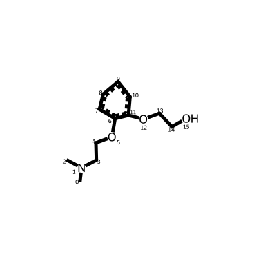 CN(C)CCOc1ccccc1OCCO